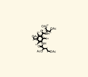 CC(=O)OCCC(OC(C)=O)C(=O)Nc1c(I)c(COC(C)=O)c(I)c(C(=O)NC(COC(C)=O)COC(C)=O)c1I